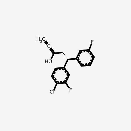 C=C=C(O)C[C@H](c1cccc(F)c1)c1ccc(Cl)c(F)c1